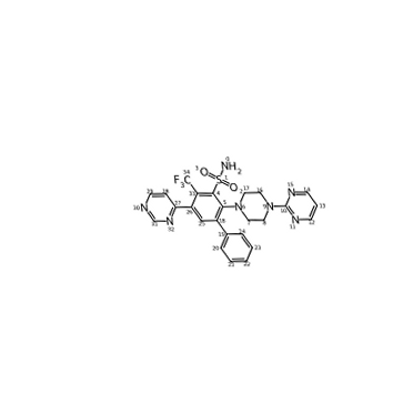 NS(=O)(=O)c1c(N2CCN(c3ncccn3)CC2)c(-c2ccccc2)cc(-c2ccncn2)c1C(F)(F)F